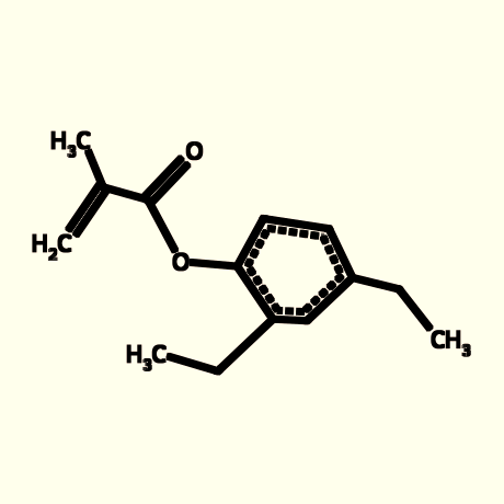 C=C(C)C(=O)Oc1ccc(CC)cc1CC